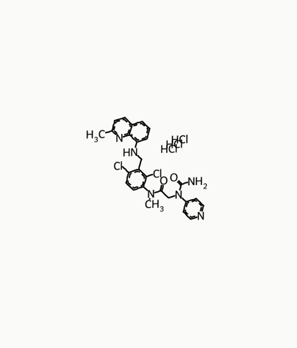 Cc1ccc2cccc(NCc3c(Cl)ccc(N(C)C(=O)CN(C(N)=O)c4ccncc4)c3Cl)c2n1.Cl.Cl.Cl